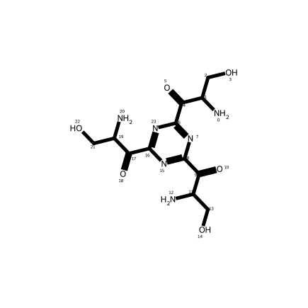 NC(CO)C(=O)c1nc(C(=O)C(N)CO)nc(C(=O)C(N)CO)n1